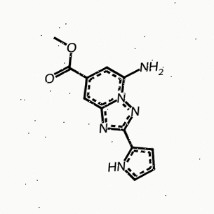 COC(=O)c1cc(N)n2nc(-c3ccc[nH]3)nc2c1